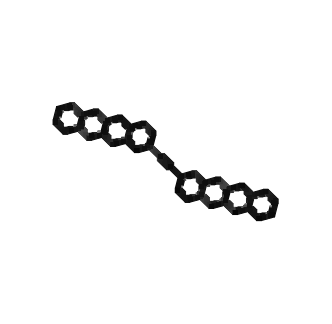 C(#Cc1ccc2cc3cc4ccccc4cc3cc2c1)c1ccc2cc3cc4ccccc4cc3cc2c1